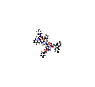 C[C@H](NC(=O)[C@H](Cc1ccccc1)N(C)C(=O)[C@H](Cc1ccccc1)N(C)C(=O)[C@H](CC(=O)OCc1ccccc1)NC(=O)OCC1c2ccccc2-c2ccccc21)C(=O)N1CCCCC1